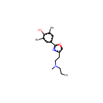 CN(CCC#N)CCc1coc(-c2cc(C(C)(C)C)c(O)c(C(C)(C)C)c2)n1